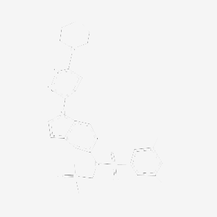 O=P(O)(O)CN(c1ccc2c(ccn2-c2ccc(N3CCOCC3)nn2)c1)S(=O)(=O)c1cc(Cl)cc(Cl)c1